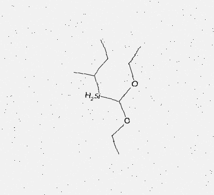 CCOC(OCC)[SiH2]C(C)CC